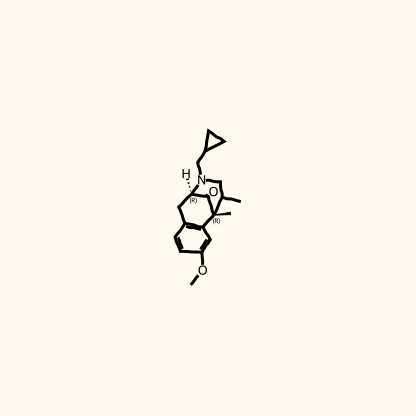 COc1ccc2c(c1)[C@]1(C)C(=O)[C@@H](C2)N(CC2CC2)CC1C